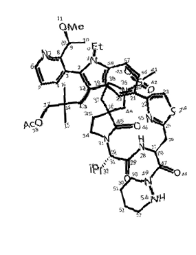 CCn1c(-c2cccnc2[C@H](C)OC)c(CC(C)(C)COC(C)=O)c2cc(-c3csc(C[C@H](NC(=O)[C@H](C(C)C)N4CCC5(CCN(S(C)(=O)=O)C5)C4=O)C(=O)N4CCCCN4)n3)ccc21